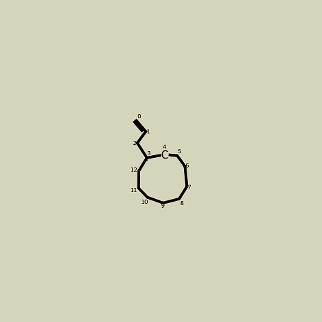 C=CC[C]1CCCCCCCCC1